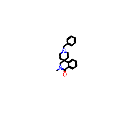 CN1CC2(CCN(Cc3ccccc3)CC2)c2ccccc2C1=O